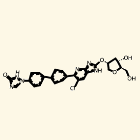 O=c1ncn(-c2ccc(-c3ccc(-c4nc5nc(O[C@H]6CO[C@H](CO)[C@@H](O)C6)[nH]c5cc4Cl)cc3)cc2)[nH]1